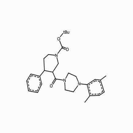 Cc1ccc(C)c(N2CCN(C(=O)C3CN(C(=O)OC(C)(C)C)CCC3c3ccccc3)CC2)c1